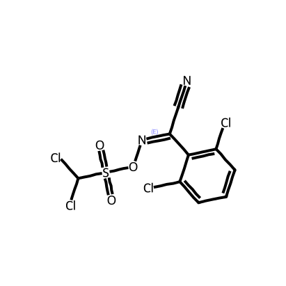 N#C/C(=N/OS(=O)(=O)C(Cl)Cl)c1c(Cl)cccc1Cl